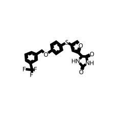 O=C1NC(=O)C(c2cc(Sc3ccc(OCc4cccc(C(F)(F)F)c4)cc3)co2)N1